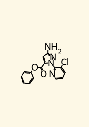 Nc1cc(C(=O)Oc2ccccc2)n(-c2ncccc2Cl)n1